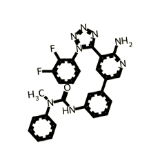 CN(C(=O)Nc1cccc(-c2cnc(N)c(-c3nnnn3-c3cccc(F)c3F)c2)c1)c1ccccc1